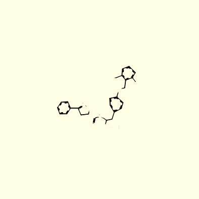 O=C(O)C(Cc1ccc(OCc2c(Cl)cccc2Cl)cc1)NC(=O)[C@@H]1CC(c2ccccc2)=NO1